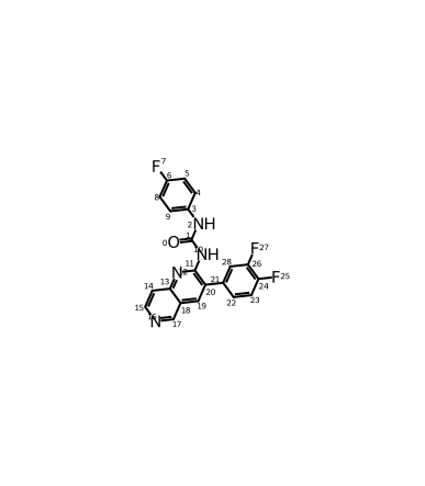 O=C(Nc1ccc(F)cc1)Nc1nc2ccncc2cc1-c1ccc(F)c(F)c1